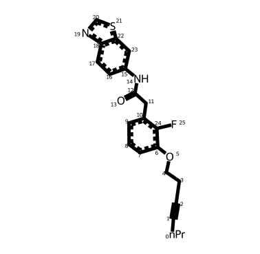 CCCC#CCCOc1cccc(CC(=O)Nc2ccc3ncsc3c2)c1F